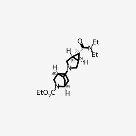 CCOC(=O)N1C[C@H]2CC[C@@H]1CC2N1C[C@@H]2[C@H](C1)[C@H]2C(=O)N(CC)CC